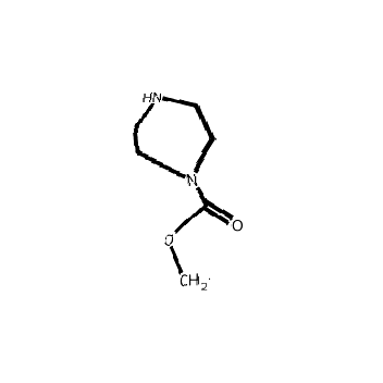 [CH2]OC(=O)N1CCNCC1